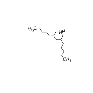 CCCCCC1CNCC(CCCCC)C1